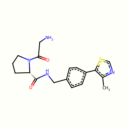 Cc1ncsc1-c1ccc(CNC(=O)[C@@H]2CCCN2C(=O)CN)cc1